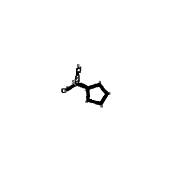 Cl[SiH](Cl)C1CCCC1